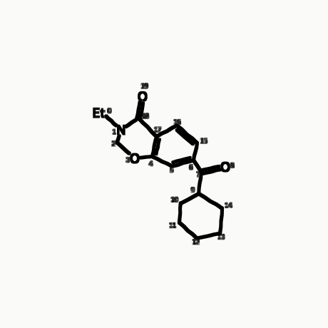 CCN1COc2cc(C(=O)C3CCCCC3)ccc2C1=O